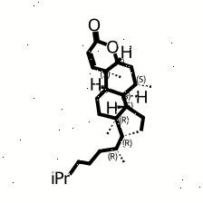 CC(C)CCC[C@@H](C)[C@H]1CC[C@H]2[C@@H]3[C@@H](C)C[C@H]4OC(=O)C=C[C@]4(C)[C@H]3CC[C@]12C